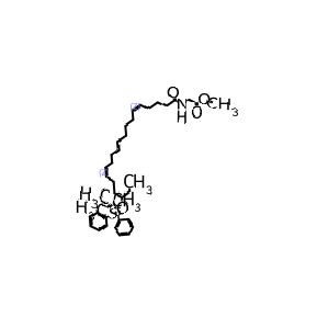 CCC(CC/C=C\CCCCCCC/C=C\CCCC(=O)NCC(=O)OC)O[Si](c1ccccc1)(c1ccccc1)C(C)(C)C